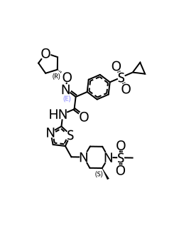 C[C@H]1CN(Cc2cnc(NC(=O)/C(=N/O[C@@H]3CCOC3)c3ccc(S(=O)(=O)C4CC4)cc3)s2)CCN1S(C)(=O)=O